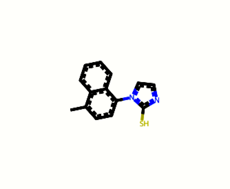 Cc1ccc(-n2ccnc2S)c2ccccc12